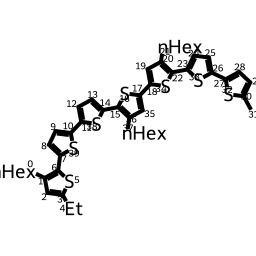 CCCCCCc1cc(CC)sc1-c1ccc(-c2ccc(-c3sc(-c4cc(CCCCCC)c(-c5ccc(-c6ccc(C)s6)s5)s4)cc3CCCCCC)s2)s1